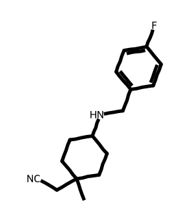 CC1(CC#N)CCC(NCc2ccc(F)cc2)CC1